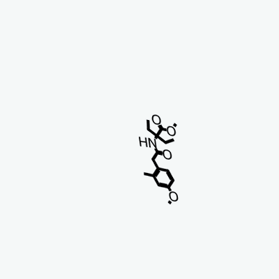 CCC(CC)(NC(=O)Cc1ccc(OC)cc1C)C(=O)OC